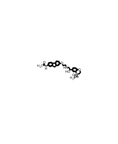 CC(=O)Nc1ccc2c(c1)Cc1cc(OCCNCC(O)c3ccc4c(c3)N(S(C)(=O)=O)CCO4)ccc1-2